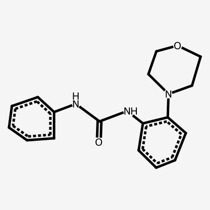 O=C(Nc1ccccc1)Nc1ccccc1N1CCOCC1